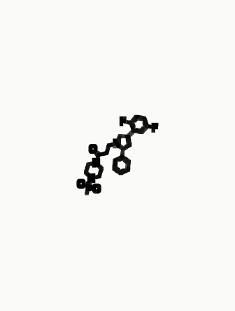 CS(=O)(=O)N1CCN(C(=O)CCN2CC(c3cc(F)ccc3F)=C[C@H]2c2ccccc2)CC1